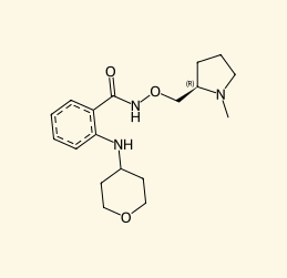 CN1CCC[C@@H]1CONC(=O)c1ccccc1NC1CCOCC1